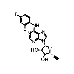 C#C[C@H]1O[C@@H](n2cnc3c(Nc4ccc(F)cc4F)ncnc32)[C@H](O)[C@@H]1O